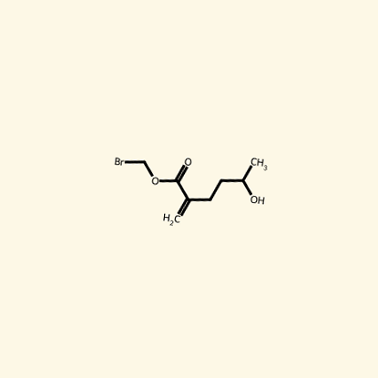 C=C(CCC(C)O)C(=O)OCBr